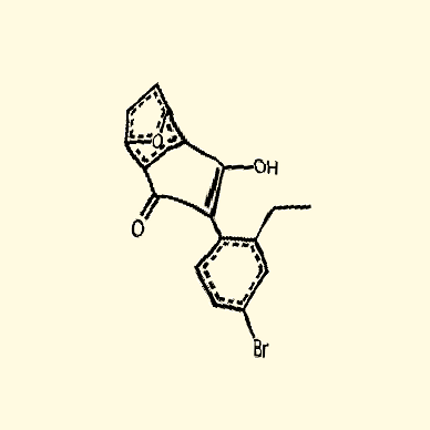 CCc1cc(Br)ccc1C1=C(O)c2c(c3ccc2o3)C1=O